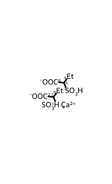 CCC(C(=O)[O-])S(=O)(=O)O.CCC(C(=O)[O-])S(=O)(=O)O.[Ca+2]